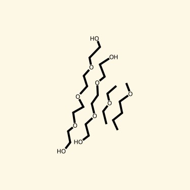 CCCCOC.CCOCC.OCCOCCOCCO.OCCOCCOCCOCCO